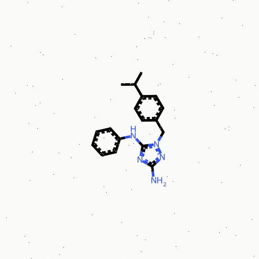 CC(C)c1ccc(Cn2nc(N)nc2Nc2ccccc2)cc1